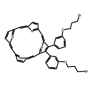 BrCCCOc1cccc(C2=C(c3cccc(OCCCBr)c3)C3=NC2=CC2=NC(=CC4=NC(=CC5=NC(=C3)C=C5)C=C4)C=C2)c1